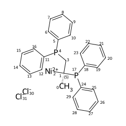 C[C@]([Ni+2])(CP(c1ccccc1)c1ccccc1)P(c1ccccc1)c1ccccc1.[Cl-].[Cl-]